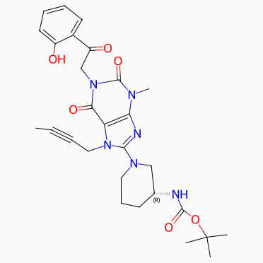 CC#CCn1c(N2CCC[C@@H](NC(=O)OC(C)(C)C)C2)nc2c1c(=O)n(CC(=O)c1ccccc1O)c(=O)n2C